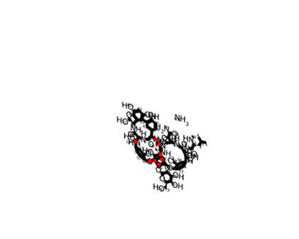 CN[C@H](CC(C)C)C(=O)N[C@H]1C(=O)N[C@@H](CC(N)=O)C(=O)N[C@H]2C(=O)N[C@H]3C(=O)N[C@H](C(=O)N[C@@H](C(=O)O)c4cc(O)cc(O)c4-c4cc3ccc4O)[C@H](O)c3ccc(c(Cl)c3)Oc3cc2cc(c3O[C@@H]2O[C@H](CO)[C@@H](O)[C@H](O)[C@H]2O[C@H]2C[C@](C)(N)C(O)[C@H](C)O2)Oc2ccc(cc2Cl)[C@H]1O.N